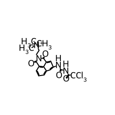 C[N+](C)(C)CCN1C(=O)c2cccc3cc(NC(=O)NC(=O)C(Cl)(Cl)Cl)cc(c23)C1=O